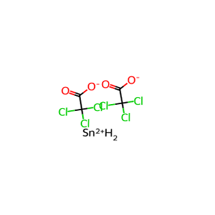 O=C([O-])C(Cl)(Cl)Cl.O=C([O-])C(Cl)(Cl)Cl.[SnH2+2]